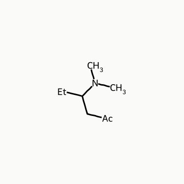 CCC(CC(C)=O)N(C)C